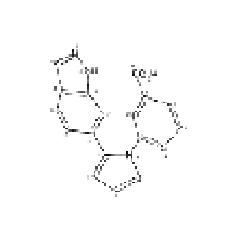 O=C(O)c1ccnc(-n2cccc2-c2ccc3cn[nH]c3c2)c1